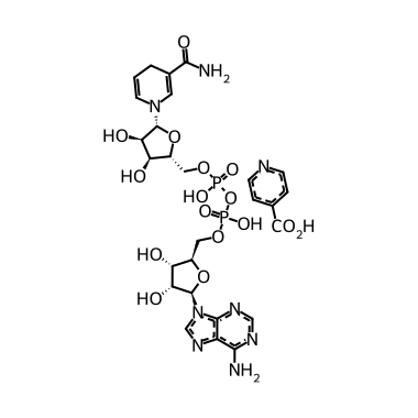 NC(=O)C1=CN([C@@H]2O[C@H](COP(=O)(O)OP(=O)(O)OC[C@H]3O[C@@H](n4cnc5c(N)ncnc54)[C@H](O)[C@@H]3O)[C@@H](O)[C@H]2O)C=CC1.O=C(O)c1ccncc1